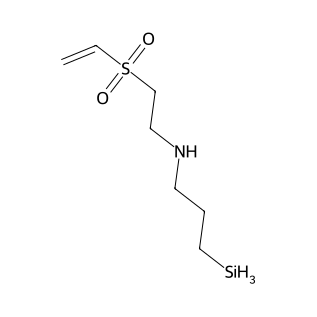 C=CS(=O)(=O)CCNCCC[SiH3]